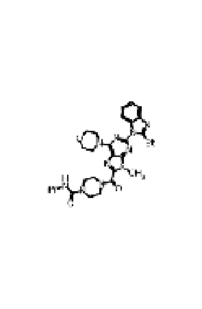 CCc1nc2ccccc2n1-c1nc(N2CCOCC2)c2nc(C(=O)N3CCN(C(=O)NC(C)C)CC3)n(C)c2n1